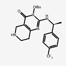 CC(C)COn1c(N[C@@H](C)c2ccc(C(F)(F)F)cc2)nc2c(c1=O)CNCC2